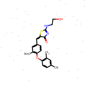 COc1cc(/C=C2/SC(NCCO)=NC2=O)ccc1Oc1ccc(C#N)cc1C(F)(F)F